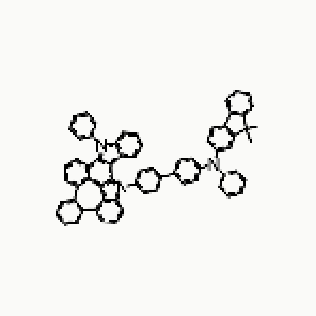 CC1(C)c2ccccc2-c2ccc(N(c3ccccc3)c3ccc(-c4ccc(-n5c6cccc7c6c6c8c(cccc8c8c(c9ccccc9n8-c8ccccc8)c65)-c5ccccc5-7)cc4)cc3)cc21